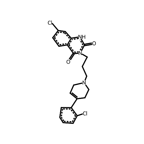 O=c1[nH]c2cc(Cl)ccc2c(=O)n1CCCN1CC=C(c2ccccc2Cl)CC1